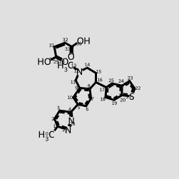 Cc1ccc(-c2ccc3c(c2)CN(C)CCC3c2ccc3sccc3c2)nn1.O=C(O)/C=C\C(=O)O